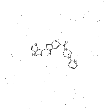 O=C(c1ccc2cc(-c3n[nH]c4ccsc34)[nH]c2c1)N1CCN(c2ccccn2)CC1